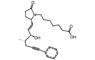 C[C@@H](CC#Cc1ccccc1)[C@H](O)/C=C/[C@H]1CCC(=O)N1CCCCCCC(=O)O